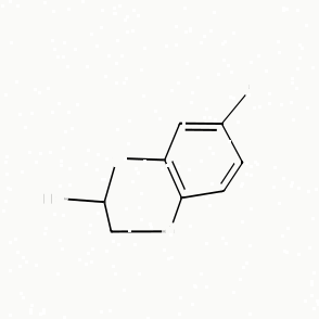 Cc1ccc2c(c1)OC(O)CO2